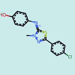 Cn1nc(-c2ccc(Cl)cc2)s/c1=N/c1ccc(O)cc1